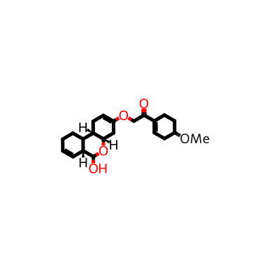 COC1CC=C(C(=O)COC2=CC[C@H]3C4CCC=C[C@H]4C(O)O[C@H]3C2)CC1